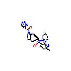 Cc1ccc(C(=O)Nc2ccc3c(c2)CCN3C(=O)Cn2cnnn2)c(N2CCC(C)CC2)n1